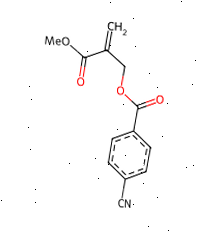 C=C(COC(=O)c1ccc(C#N)cc1)C(=O)OC